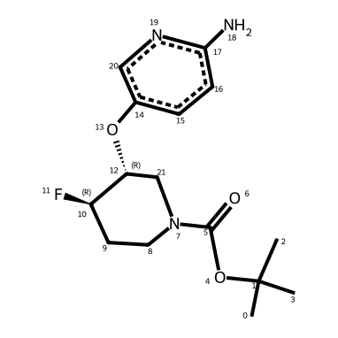 CC(C)(C)OC(=O)N1CC[C@@H](F)[C@H](Oc2ccc(N)nc2)C1